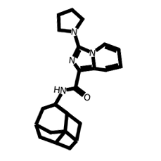 O=C(NC12CC3CC4CC(C1)C4(C3)C2)c1nc(N2CCCC2)n2ccccc12